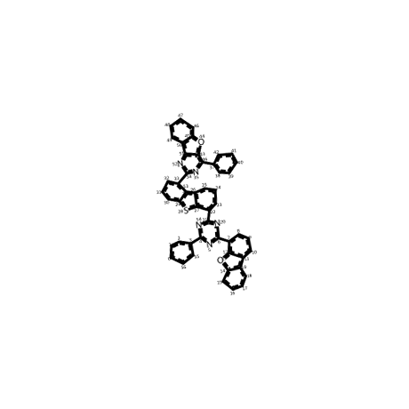 c1ccc(-c2nc(-c3cccc4c3oc3ccccc34)nc(-c3cccc4c3sc3cccc(-c5nc(-c6ccccc6)c6oc7ccccc7c6n5)c34)n2)cc1